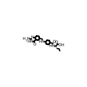 CCC[C@H](NC(=O)c1ccc(NCc2ccc3nc(N)[nH]c(=O)c3c2)cc1)C(=O)O